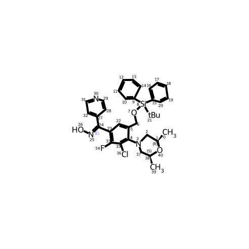 C[C@@H]1CN(c2c(CO[Si](c3ccccc3)(c3ccccc3)C(C)(C)C)cc(/C(=N/O)c3ccncc3)c(F)c2Cl)C[C@H](C)O1